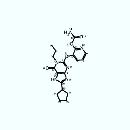 CCCn1c(Oc2cccnc2OC(N)=O)nc2nc(C3CCCC3)[nH]c2c1=O